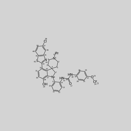 CC(C)N1CCC2(CC1)CN(c1ccccc1NC(=O)Nc1ccc(OC(F)(F)F)cc1)c1c(O)ccc(-c3nc4cc(Cl)ccc4s3)c12